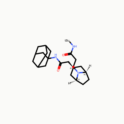 CC(C)(C)NC(=O)CCN1[C@@H]2CC[C@H]1C[C@@H](CC(=O)NC13CC4CC(CC(C4)C1)C3)C2